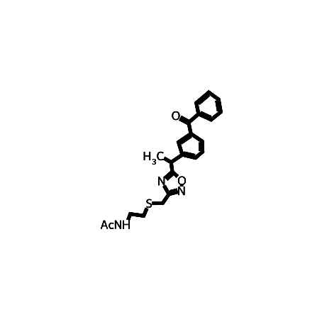 CC(=O)NCCSCc1noc(C(C)c2cccc(C(=O)c3ccccc3)c2)n1